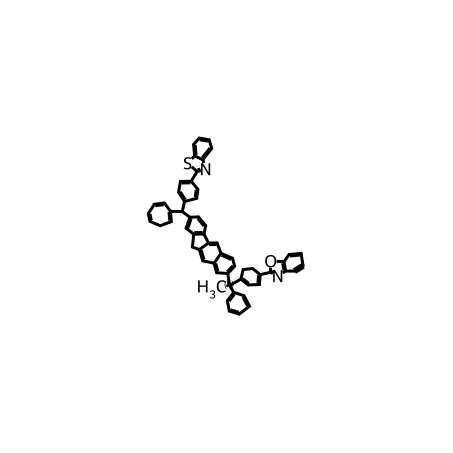 C[C@@](C1=CC=C(c2nc3c#cccc3o2)CC1)(c1ccccc1)c1ccc2cc3c(cc2c1)Cc1cc(C(C2=CCC=CC=C2)c2ccc(-c4nc5ccccc5s4)cc2)ccc1-3